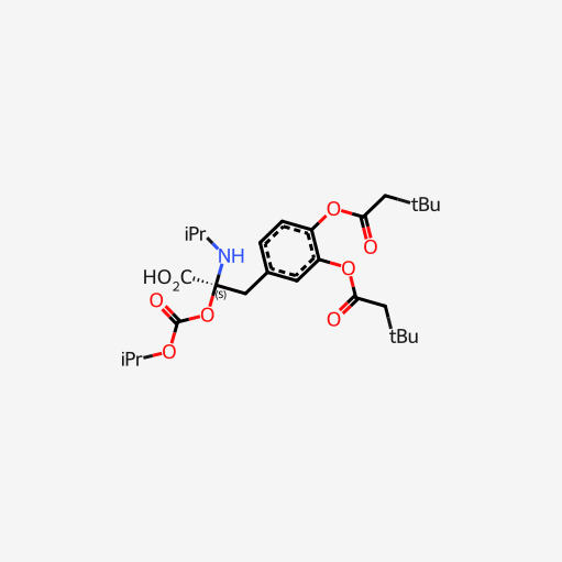 CC(C)N[C@@](Cc1ccc(OC(=O)CC(C)(C)C)c(OC(=O)CC(C)(C)C)c1)(OC(=O)OC(C)C)C(=O)O